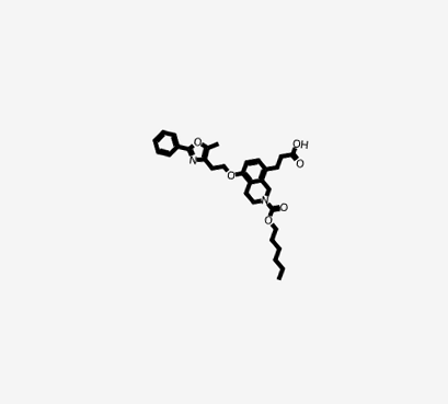 CCCCCCOC(=O)N1CCc2c(OCCc3nc(-c4ccccc4)oc3C)ccc(CCC(=O)O)c2C1